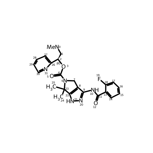 CNC[C@@H](OC(=O)N1Cc2c(NC(=O)c3ccccc3F)n[nH]c2C1(C)C)c1ccccn1